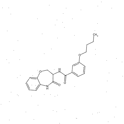 CCCCOc1cccc(C(=O)NC2COc3ccccc3NC2=O)c1